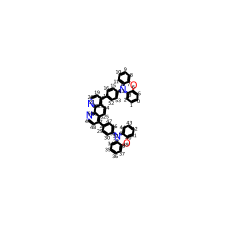 c1ccc2c(c1)Oc1ccccc1N2c1ccc(-c2ccnc3c2ccc2c(-c4ccc(N5c6ccccc6Oc6ccccc65)cc4)ccnc23)cc1